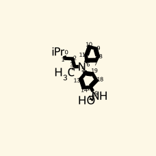 CC(C)CCC(C)N(c1ccccc1)c1ccc(NO)cc1